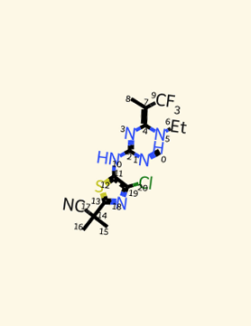 C=N/C(=N\C(NCC)=C(/C)C(F)(F)F)Nc1sc(C(C)(C)C#N)nc1Cl